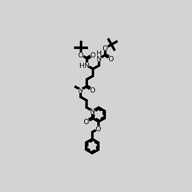 CN(CCCn1cccc(OCc2ccccc2)c1=O)C(=O)CCC(CNC(=O)OC(C)(C)C)NC(=O)OC(C)(C)C